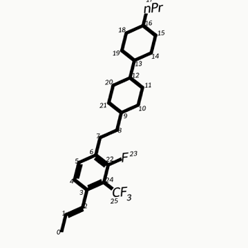 C/C=C/c1ccc(CCC2CCC(C3CCC(CCC)CC3)CC2)c(F)c1C(F)(F)F